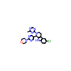 Cc1ncnc(N2CCc3c([nH]c4ccc(Cl)cc34)C2c2cnc(N3CCOCC3)nc2)n1